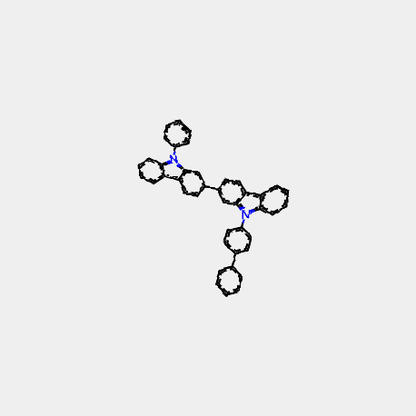 c1ccc(-c2ccc(-n3c4ccccc4c4ccc(-c5ccc6c7ccccc7n(-c7ccccc7)c6c5)cc43)cc2)cc1